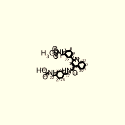 CS(=O)(=O)NCc1cccc(-c2cc(C(=O)NCC3CCC(CNC(=O)O)CC3)c3ccccc3n2)c1